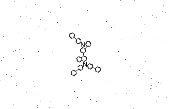 c1ccc(-c2ccc(N(c3ccc(-c4ccccc4)cc3)c3ccc(-c4ccc5c(c4)c4ccccc4n5-c4ccc(-c5ccccc5)cc4)c4ccccc34)cc2)cc1